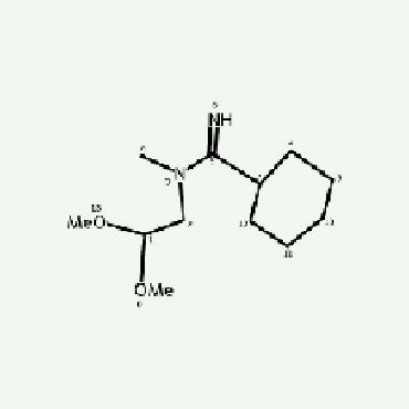 COC(CN(C)C(=N)C1CCCCC1)OC